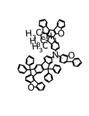 CC1(C)c2cc(N(c3ccc4c(c3)C(c3ccccc3)(c3ccccc3)c3cc5c(cc3-4)C(c3ccccc3)(c3ccccc3)c3ccc4oc6ccccc6c4c3-5)c3ccc4c(c3)oc3ccccc34)ccc2-c2c1c1c(c3c2oc2ccccc23)-c2ccccc2C1(C)C